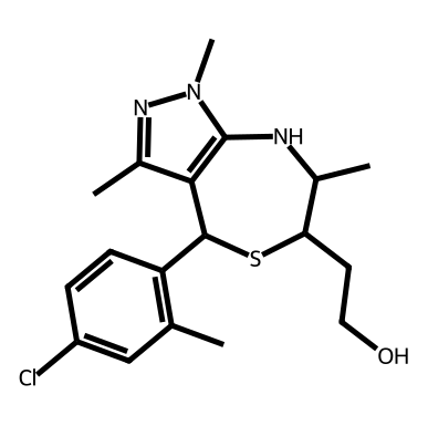 Cc1cc(Cl)ccc1C1SC(CCO)C(C)Nc2c1c(C)nn2C